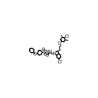 Cc1cc(OCCCc2cn(CCC(=O)NS(=O)(=O)c3ccc(Oc4ccccc4)cc3)c3cc(Cl)ccc23)cc(C)c1Cl